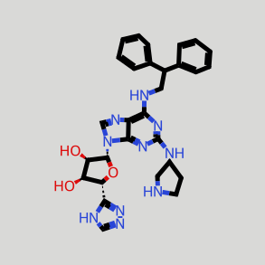 O[C@@H]1[C@H](O)[C@@H](c2nnc[nH]2)O[C@H]1n1cnc2c(NCC(c3ccccc3)c3ccccc3)nc(N[C@@H]3CCNC3)nc21